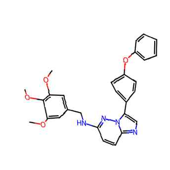 COc1cc(CNc2ccc3ncc(-c4ccc(Oc5ccccc5)cc4)n3n2)cc(OC)c1OC